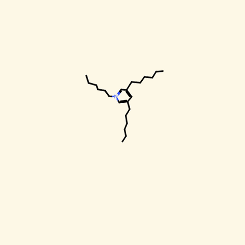 CCCCCCc1cc(CCCCCC)c[n+](CCCCCC)c1